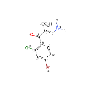 CN(C)C=C(C(=O)O)C(=O)c1ccc(Br)cc1Cl